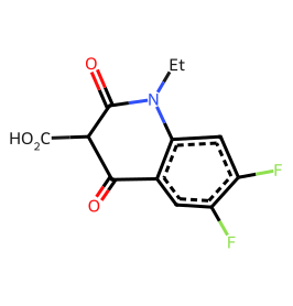 CCN1C(=O)C(C(=O)O)C(=O)c2cc(F)c(F)cc21